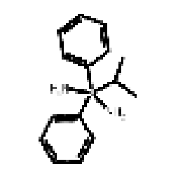 CC(C)I(N)(N)(c1ccccc1)c1ccccc1